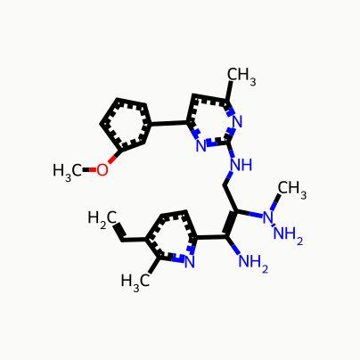 C=Cc1ccc(/C(N)=C(\CNc2nc(C)cc(-c3cccc(OC)c3)n2)N(C)N)nc1C